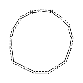 c1ccncncccnccccocc1